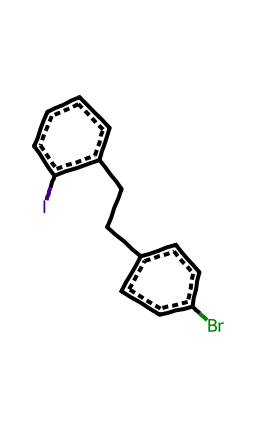 Brc1ccc(CCc2ccccc2I)cc1